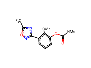 CNC(=O)Oc1cccc(-c2noc(C(F)(F)F)n2)c1OC